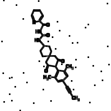 CC#Cc1cc(C)c(C2C(=O)CC3(CCC(NC(=O)NC(=O)c4ccccn4)CC3)CC2=O)c(C)c1